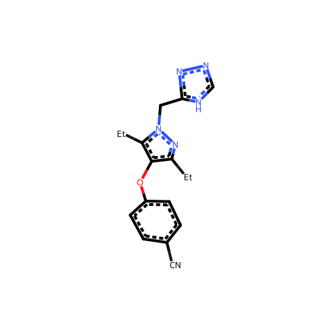 CCc1nn(Cc2nnc[nH]2)c(CC)c1Oc1ccc(C#N)cc1